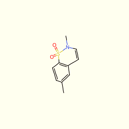 Cc1ccc2c(c1)C=CN(C)S2(=O)=O